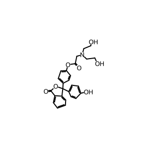 O=C(CN(CCO)CCO)Oc1ccc(C2(c3ccc(O)cc3)OC(=O)c3ccccc32)cc1